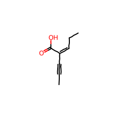 CC#CC(=CCC)C(=O)O